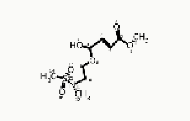 COC(=O)/C=C/C(O)OCCN(C)S(C)(=O)=O